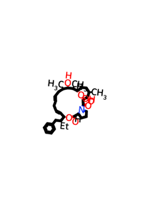 CC[C@H](Cc1ccccc1)[C@@H]1/C=C/C/C=C/C[C@@H](C)[C@H](O)[C@@H](C)[C@@H]2CC[C@@H](C)C(=O)C(O)(O2)C(=O)N2CCC[C@H]2C(=O)O1